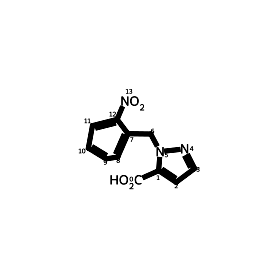 O=C(O)c1ccnn1Cc1ccccc1[N+](=O)[O-]